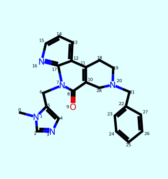 Cn1cncc1Cn1c(=O)c2c(c3cccnc31)CCN(Cc1ccccc1)C2